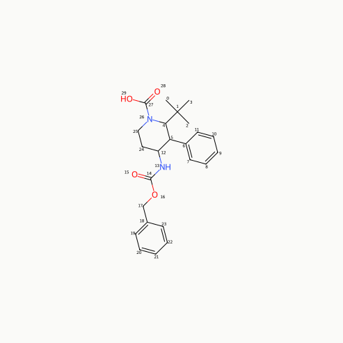 CC(C)(C)C1C(c2ccccc2)C(NC(=O)OCc2ccccc2)CCN1C(=O)O